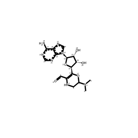 CN(C)C1CNC(C=O)=C([C@H]2O[C@@H](n3cnc4c(N)ncnc43)[C@H](O)[C@@H]2O)O1